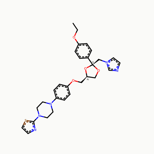 CCOc1ccc([C@]2(Cn3ccnc3)OC[C@@H](COc3ccc(N4CCN(c5nccs5)CC4)cc3)O2)cc1